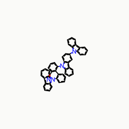 N#Cc1cccc(-n2c3ccccc3c3cc(-n4c5ccccc5c5ccccc54)ccc32)c1-c1ccccc1-n1c2ccccc2c2ccccc21